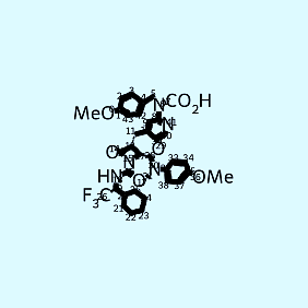 COc1ccc(CN(C(=O)O)c2cc(C[C@H]3C(=O)N(C(=O)N[C@@H](C4CCCCC4)C(F)(F)F)[C@@H]3C(=O)N(C)c3ccc(OC)cc3)ccn2)cc1